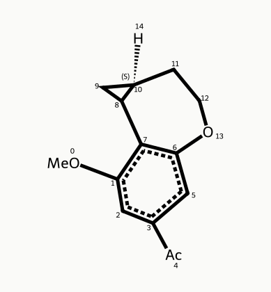 COc1cc(C(C)=O)cc2c1C1C[C@H]1CCO2